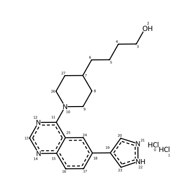 Cl.Cl.OCCCCC1CCN(c2ncnc3ccc(-c4cn[nH]c4)cc23)CC1